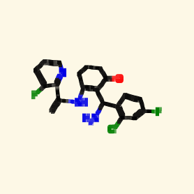 C=C(NC1=C(C(N)c2ccc(F)cc2Cl)C(=O)CCC1)c1ncccc1F